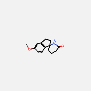 COc1ccc2c(c1)CCC21CCCC(=O)N1